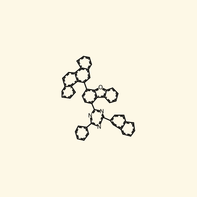 c1ccc(-c2nc(-c3ccc4ccccc4c3)nc(-c3ccc(-c4cc5ccccc5c5ccc6ccccc6c45)c4oc5ccccc5c34)n2)cc1